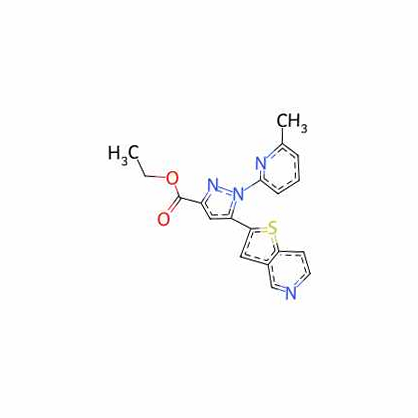 CCOC(=O)c1cc(-c2cc3cnccc3s2)n(-c2cccc(C)n2)n1